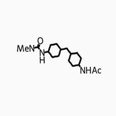 CNC(=O)NC1CCC(CC2CCC(NC(C)=O)CC2)CC1